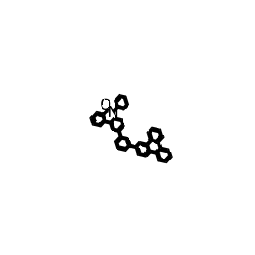 O=c1c2ccccc2c2cc(-c3cccc(-c4ccc5c6ccccc6c6ccccc6c5c4)c3)ccc2n1-c1ccccc1